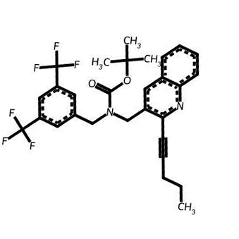 CCCC#Cc1nc2ccccc2cc1CN(Cc1cc(C(F)(F)F)cc(C(F)(F)F)c1)C(=O)OC(C)(C)C